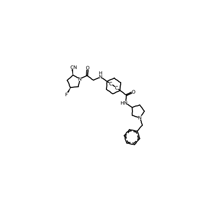 N#C[C@@H]1C[C@H](F)CN1C(=O)CNC12CCC(C(=O)NC3CCN(Cc4ccccc4)C3)(CC1)CC2